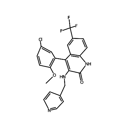 COc1ccc(Cl)cc1-c1c(NCc2ccncc2)c(=O)[nH]c2ccc(C(F)(F)F)cc12